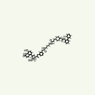 CC(Cc1cccc(CC(=O)NCCCCNC(=O)CCN2CCC(OC(=O)Nc3ccccc3-c3ccccc3)CC2)c1)NCC(O[Si](C)(C)C(C)(C)C)c1ccc(O)c2[nH]c(=O)ccc12